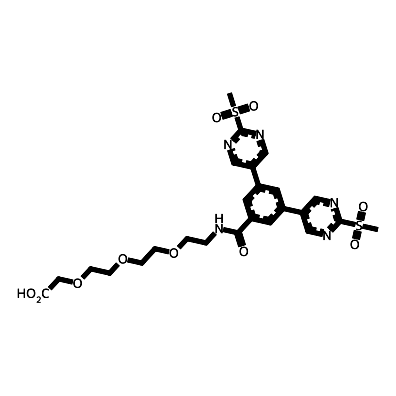 CS(=O)(=O)c1ncc(-c2cc(C(=O)NCCOCCOCCOCC(=O)O)cc(-c3cnc(S(C)(=O)=O)nc3)c2)cn1